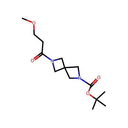 COCCC(=O)N1CC2(C1)CN(C(=O)OC(C)(C)C)C2